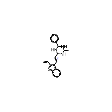 C=Cc1sc2ccccc2c1/C=C/C1NC(C)NC(c2ccccc2)N1